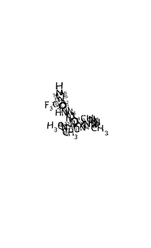 Cc1c(-c2cc3cnc(Nc4ccc(N5CCNCC5)c(C(F)(F)F)c4)nc3n(CCN(C)C)c2=O)ncn1-c1ncnn1C